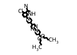 CCCCOC(OCCCC)C1CCN(c2ncc(C3CCN(c4ccc(Cl)c5c(C#N)c[nH]c45)CC3)cn2)CC1